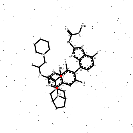 CC(CN1CCCCC1)Oc1nc(N2C3CCC2CN(C(=O)OC(C)(C)C)C3)c2cc(Cl)c(-c3ccc(F)c4sc(NC(=O)OC(C)(C)C)nc34)c(F)c2n1